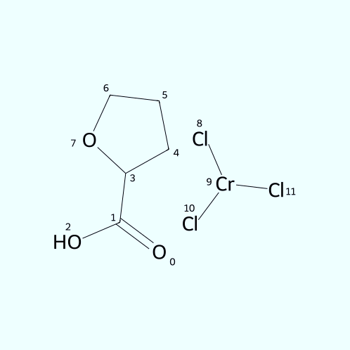 O=C(O)C1CCCO1.[Cl][Cr]([Cl])[Cl]